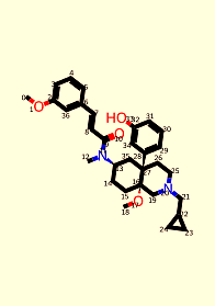 COc1cccc(C=CC(=O)N(C)[C@@H]2CC[C@]3(OC)CN(CC4CC4)CC[C@@]3(c3cccc(O)c3)C2)c1